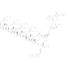 NCCNCCNCCN.O=P(O)(O)CP(=O)(O)O.O=P(O)(O)CP(=O)(O)O.O=P(O)(O)CP(=O)(O)O.O=P(O)(O)CP(=O)(O)O.O=P(O)(O)CP(=O)(O)O.O=P(O)(O)CP(=O)(O)O